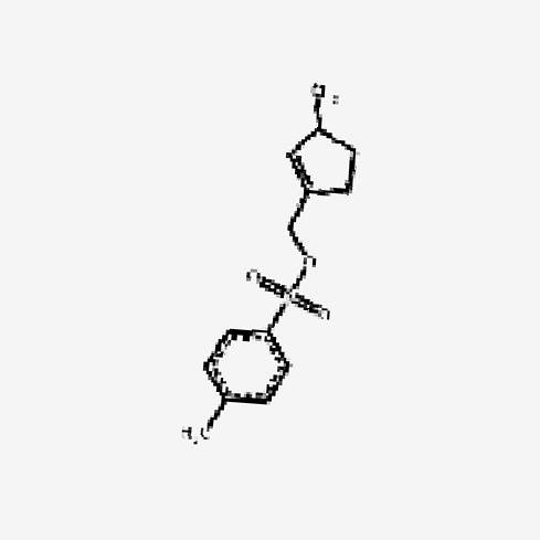 Cc1ccc(S(=O)(=O)OCC2=CC(C)CC2)cc1